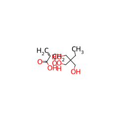 C=CC(=O)O.C=O.CCC(CO)(CO)CO